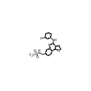 O=S(=O)(NCc1ccc2c(c1)nc(Nc1cccc(F)c1)c1ccsc12)C(F)(F)F